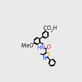 COc1ccc(-c2cccc(C(=O)O)c2)c(CNC(=O)c2sc(-c3ccccc3)nc2C)c1